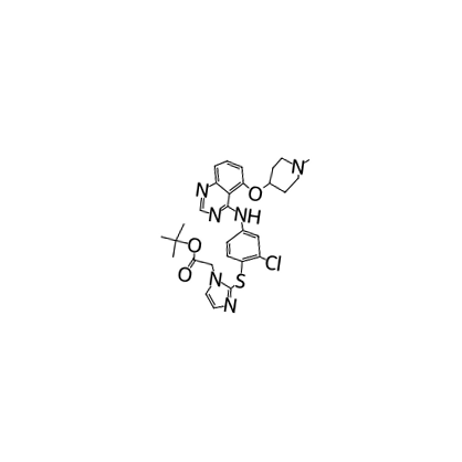 CN1CCC(Oc2cccc3ncnc(Nc4ccc(Sc5nccn5CC(=O)OC(C)(C)C)c(Cl)c4)c23)CC1